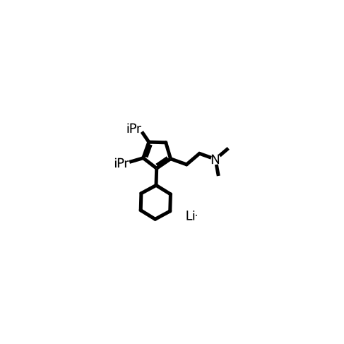 CC(C)C1=C(C(C)C)C(C2CCCCC2)=C(CCN(C)C)C1.[Li]